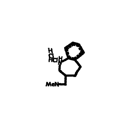 CNCC1CCc2ccccc2NC1.Cl.Cl